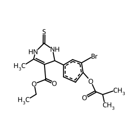 CCOC(=O)C1=C(C)NC(=S)NC1c1ccc(OC(=O)C(C)C)c(Br)c1